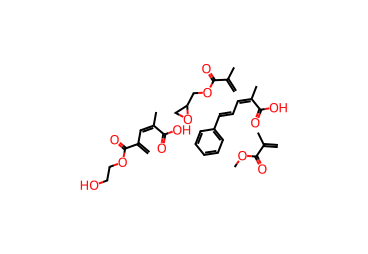 C=C(C)C(=O)OC.C=C(C)C(=O)OCC1CO1.C=C(C=C(C)C(=O)O)C(=O)OCCO.CC(=CC=Cc1ccccc1)C(=O)O